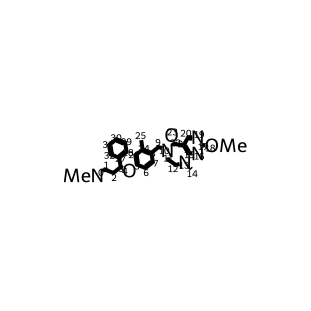 CNCCC(Oc1ccc(CN2CCN(C)c3nc(OC)ncc3C2=O)c(C)c1)c1ccccc1